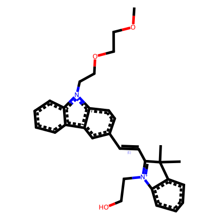 COCCOCCn1c2ccccc2c2cc(/C=C/C3=[N+](CCO)c4ccccc4C3(C)C)ccc21